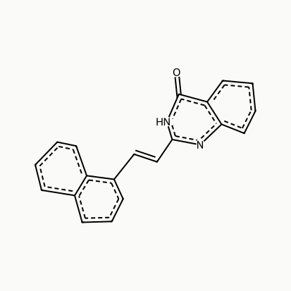 O=c1[nH]c(C=Cc2cccc3ccccc23)nc2ccccc12